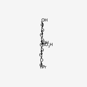 CCCOCCOCCOCCOCCOCCOCCOCCOCCOCCO.O=S(=O)(O)O